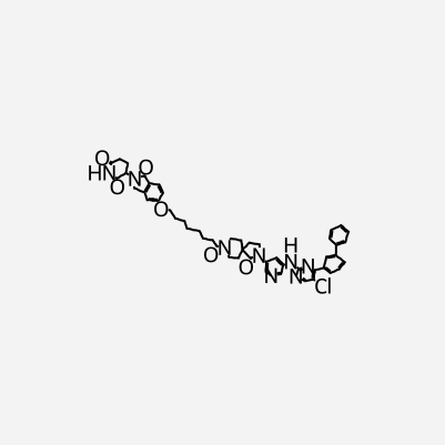 O=C1CCC(N2Cc3cc(OCCCCCCCC(=O)N4CCC5(CC4)CCN(c4cncc(Nc6ncc(Cl)c(-c7cccc(-c8ccccc8)c7)n6)c4)C5=O)ccc3C2=O)C(=O)N1